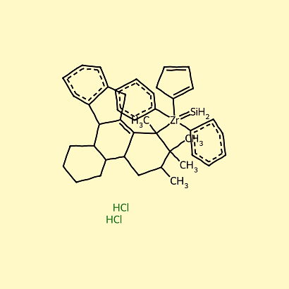 CC1CC2C(=C3Cc4ccccc4C3C3CCCCC23)[C](C)([Zr](=[SiH2])([C]2=CC=CC2)([c]2ccccc2)[c]2ccccc2)C1(C)C.Cl.Cl